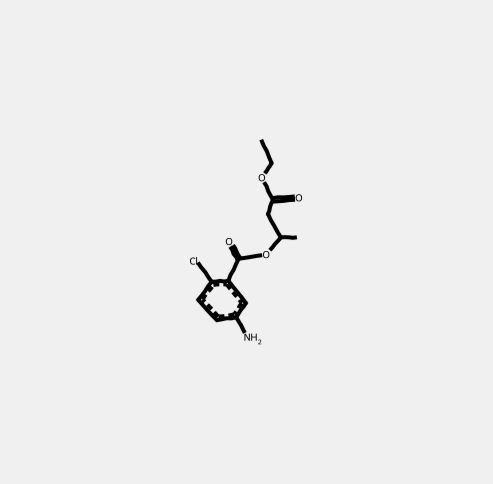 CCOC(=O)CC(C)OC(=O)c1cc(N)ccc1Cl